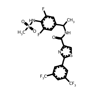 CC(NC(=O)c1csc(-c2cc(C(F)(F)F)cc(C(F)(F)F)c2)n1)c1cc(F)c(NS(C)(=O)=O)c(F)c1